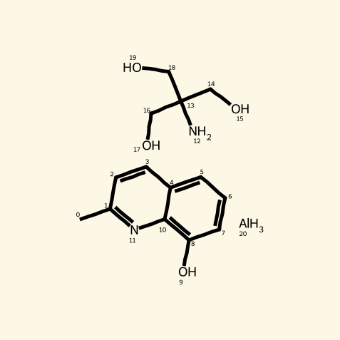 Cc1ccc2cccc(O)c2n1.NC(CO)(CO)CO.[AlH3]